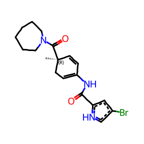 C[C@]1(C(=O)N2CCCCCC2)C=CC(NC(=O)c2cc(Br)c[nH]2)=CC1